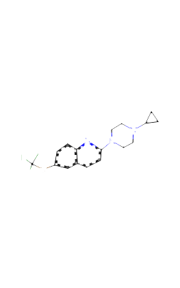 FC(F)(F)Sc1ccc2nc(N3CCN(C4CC4)CC3)ccc2c1